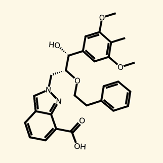 COc1cc([C@@H](O)[C@@H](Cn2cc3cccc(C(=O)O)c3n2)OCCc2ccccc2)cc(OC)c1C